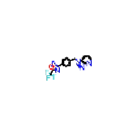 FC(F)(F)c1nc(-c2ccc(Cn3nnc4ncccc43)cc2)no1